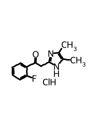 Cc1nc(CC(=O)c2ccccc2F)[nH]c1C.Cl